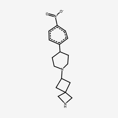 O=[N+]([O-])c1ccc(C2CCN(C3CC4(CNC4)C3)CC2)cc1